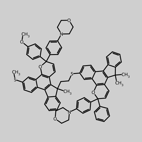 COc1ccc(C2(c3ccc(N4CCOCC4)cc3)C=Cc3c4c(c5ccc(SC)cc5c3O2)-c2ccccc2C4(C)CCSc2ccc3c4c(c5c(c3c2)OC(c2ccccc2)(c2ccc(N3CCOCC3)cc2)C=C5)C(C)(C)c2ccccc2-4)cc1